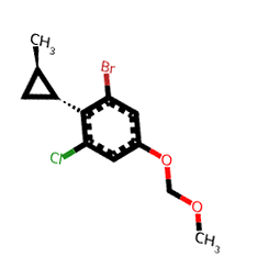 COCOc1cc(Cl)c([C@@H]2C[C@H]2C)c(Br)c1